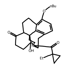 CCCCOc1ccc2c3c1CCC1C(=O)CCC4(O)C(C2)N(C(=O)C2(CC)CC2)CCC314